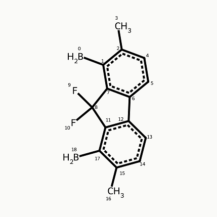 Bc1c(C)ccc2c1C(F)(F)c1c-2ccc(C)c1B